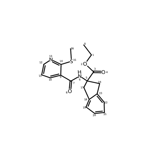 CCOC(=O)C1(NC(=O)c2cccnc2SC)Cc2ccccc2C1